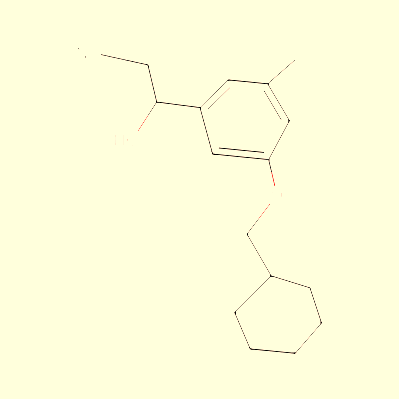 [2H]c1cc(OCC2CCCCC2)cc(C(O)CC#N)c1